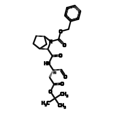 CC(C)(C)OC(=O)C[C@@H](C=O)NC(=O)C1C2CCC(C2)N1C(=O)OCc1ccccc1